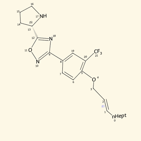 CCCCCCC/C=C/COc1ccc(-c2noc([C@@H]3CCCN3)n2)cc1C(F)(F)F